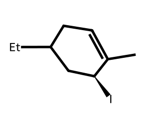 CCC1CC=C(C)[C@@H](I)C1